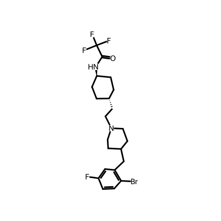 O=C(N[C@H]1CC[C@H](CCN2CCC(Cc3cc(F)ccc3Br)CC2)CC1)C(F)(F)F